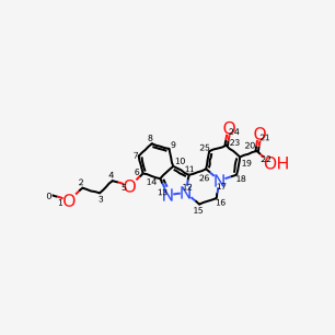 COCCCOc1cccc2c3n(nc12)CCn1cc(C(=O)O)c(=O)cc1-3